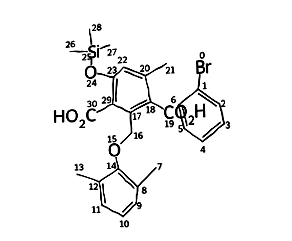 Brc1ccccc1.Cc1cccc(C)c1OCc1c(C(=O)O)c(C)cc(O[Si](C)(C)C)c1C(=O)O